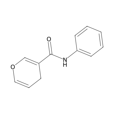 O=C(Nc1ccccc1)C1=COC=CC1